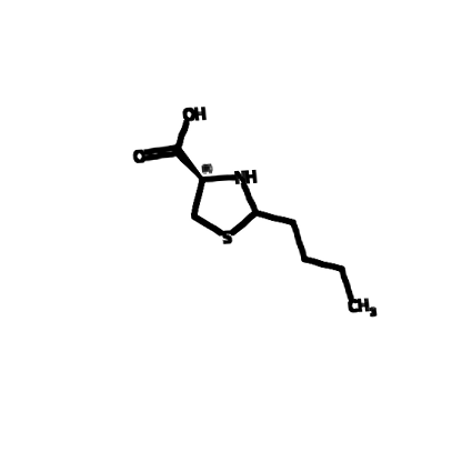 CCCCC1N[C@H](C(=O)O)CS1